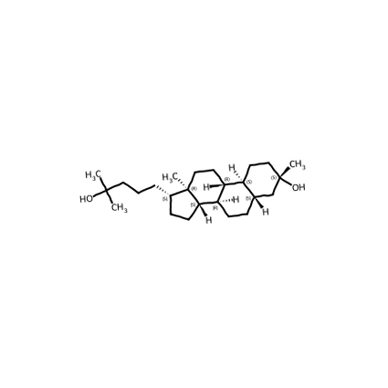 CC(C)(O)CCC[C@H]1CC[C@H]2[C@@H]3CC[C@H]4C[C@@](C)(O)CC[C@@H]4[C@H]3CC[C@]12C